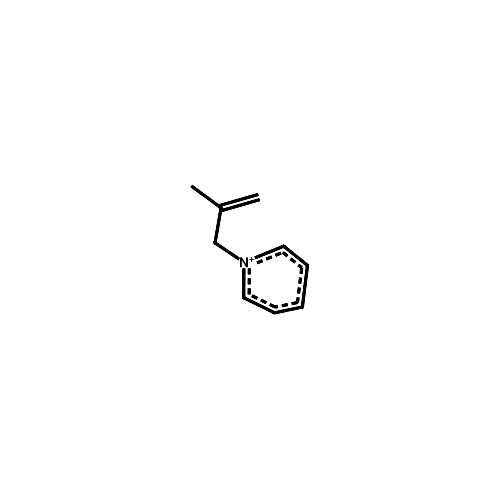 C=C(C)C[n+]1ccccc1